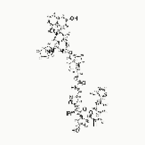 CCc1cccc2cc(O)cc(-c3ncc4c(N5CC6CCC(C5)N6)nc(OC[C@@]56CCCN5[C@H](COC(=O)NCc5cc([C@@H](C(=O)N7C[C@H](O)C[C@H]7C(=O)N[C@@H](C)c7ccc(-c8scnc8C)cc7)C(C)C)on5)CC6)nc4c3F)c12